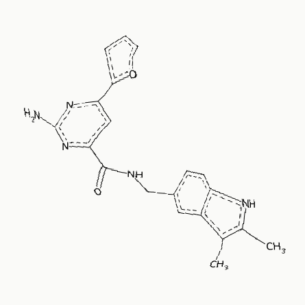 Cc1[nH]c2ccc(CNC(=O)c3cc(-c4ccco4)nc(N)n3)cc2c1C